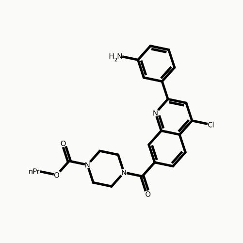 CCCOC(=O)N1CCN(C(=O)c2ccc3c(Cl)cc(-c4cccc(N)c4)nc3c2)CC1